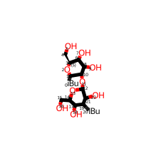 CCC(C)C1O[C@@H](CO)C(O)C(O)C1OC1OC(CO)C(O)C(C(C)CC)C1O